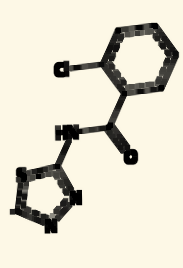 O=C(Nc1nn[c]s1)c1ccccc1Cl